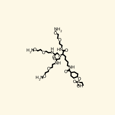 CCP(=O)(O)OC1CCC(C(=O)NCCCCC(C(=O)NCCOCCON)N(CC(=O)NCCOCCON)CC(=O)NCCOCCON)CC1